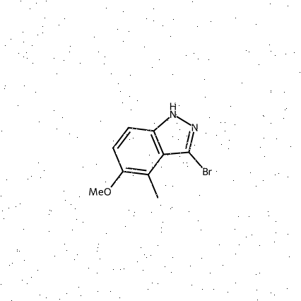 COc1ccc2[nH]nc(Br)c2c1C